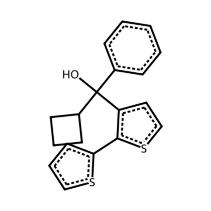 OC(c1ccccc1)(c1ccsc1-c1cccs1)C1CCC1